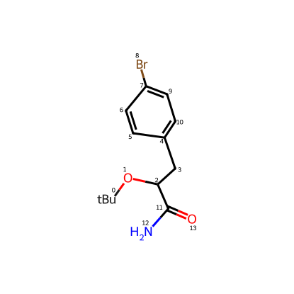 CC(C)(C)OC(Cc1ccc(Br)cc1)C(N)=O